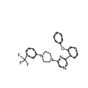 FC(F)(F)c1cccc(N2CCN(c3cncc(-c4ccccc4Oc4ccccc4)n3)CC2)c1